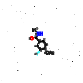 CCNC(=O)c1ccc(OC(C)=O)c(F)c1